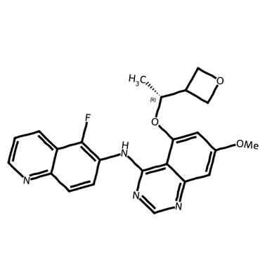 COc1cc(O[C@H](C)C2COC2)c2c(Nc3ccc4ncccc4c3F)ncnc2c1